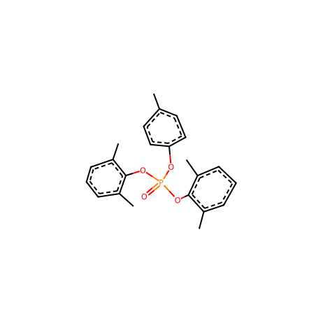 Cc1ccc(OP(=O)(Oc2c(C)cccc2C)Oc2c(C)cccc2C)cc1